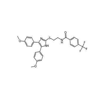 COc1ccc(-c2nc(SCCNC(=O)c3ccc(C(F)(F)F)cc3)[nH]c2-c2ccc(OC)cc2)cc1